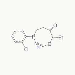 CCC1O/C=N\P(c2ccccc2Cl)CCC1=O